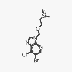 C[SiH](C)CCOCn1cnc2c(Cl)c(Br)cnc21